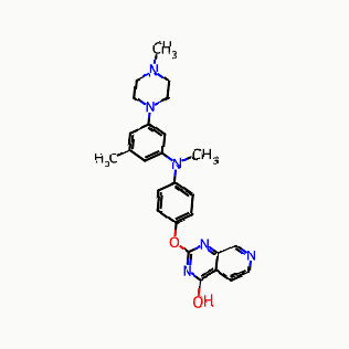 Cc1cc(N2CCN(C)CC2)cc(N(C)c2ccc(Oc3nc(O)c4ccncc4n3)cc2)c1